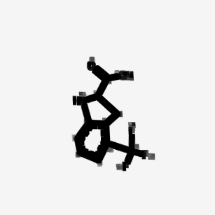 O=C(O)C1Cc2c(cccc2C(F)(F)F)N1